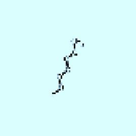 COOOOOI